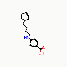 O=C(O)c1ccc(NCCCCC2CC=CCC2)cc1